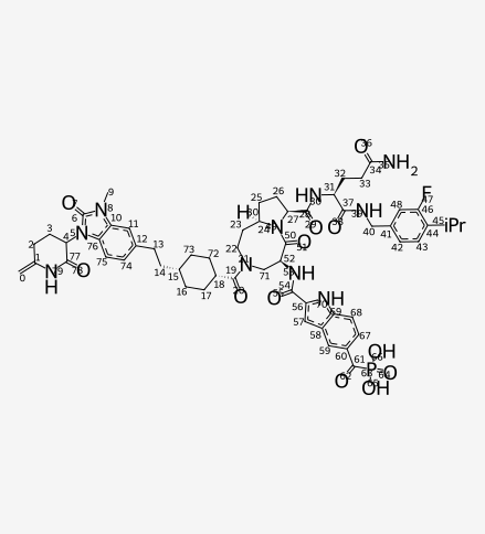 C=C1CCC(n2c(=O)n(C)c3cc(CC[C@H]4CC[C@@H](C(=O)N5CC[C@H]6CC[C@@H](C(=O)N[C@@H](CCC(N)=O)C(=O)NCc7ccc(C(C)C)c(F)c7)N6C(=O)[C@@H](NC(=O)c6cc7cc(C(=O)P(=O)(O)O)ccc7[nH]6)C5)CC4)ccc32)C(=O)N1